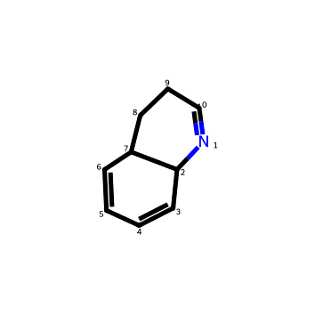 [C]1=NC2C=CC=CC2CC1